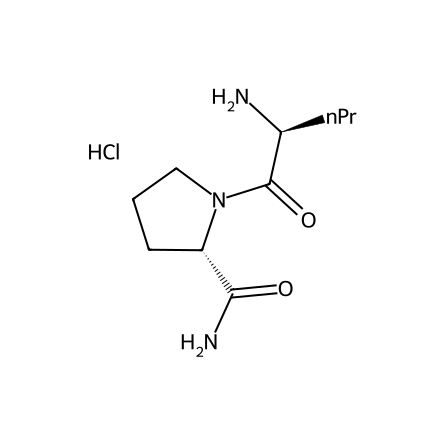 CCC[C@H](N)C(=O)N1CCC[C@H]1C(N)=O.Cl